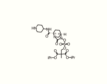 CC(C)OC(=O)C(C)(COS(=O)(=O)ON1C(=O)N2C[C@H]1CC[C@H]2C(=O)NC1CCNCC1)C(=O)OC(C)C